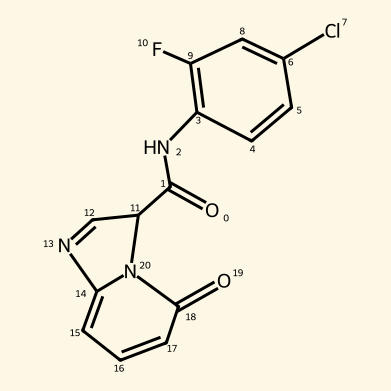 O=C(Nc1ccc(Cl)cc1F)C1C=Nc2cccc(=O)n21